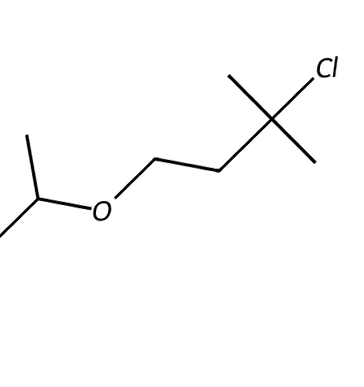 CCC(C)OCCC(C)(C)Cl